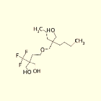 CCCCC(CO)(CCC)COCCC(CO)(CO)C(F)(F)F